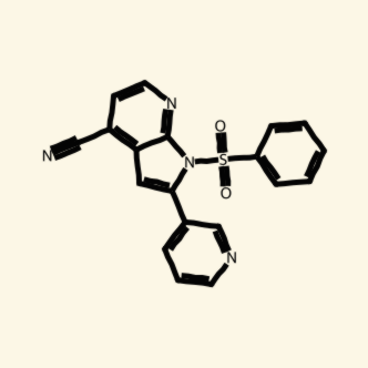 N#Cc1ccnc2c1cc(-c1cccnc1)n2S(=O)(=O)c1ccccc1